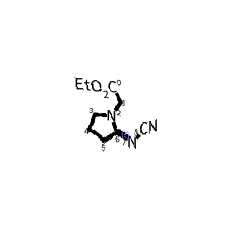 CCOC(=O)CN1CCC/C1=N/C#N